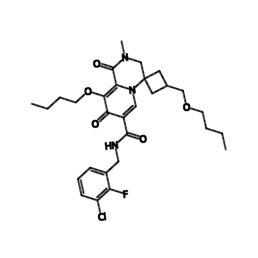 CCCCOCC1CC2(C1)CN(C)C(=O)c1c(OCCCC)c(=O)c(C(=O)NCc3cccc(Cl)c3F)cn12